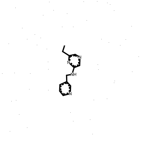 CCc1cncc(NCc2cccnc2)n1